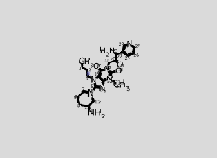 CC/C=C/n1c(N2CCCC(N)C2)nc2c1c(=O)n(CC(=O)C(N)c1cccnc1)c(=O)n2C